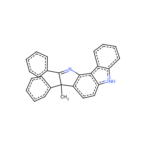 CC1(c2ccccc2)C(c2ccccc2)=Nc2c1ccc1[nH]c3ccccc3c21